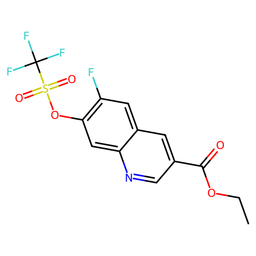 CCOC(=O)c1cnc2cc(OS(=O)(=O)C(F)(F)F)c(F)cc2c1